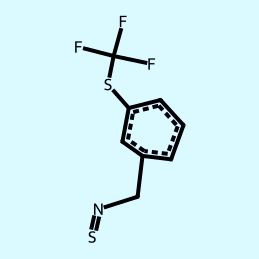 FC(F)(F)Sc1cccc(CN=S)c1